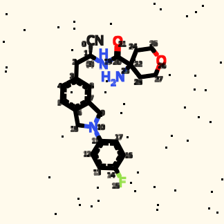 N#C[C@H](Cc1ccc2c(c1)CN(c1ccc(F)cc1)C2)NC(=O)C1(N)CCOCC1